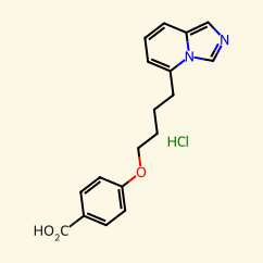 Cl.O=C(O)c1ccc(OCCCCc2cccc3cncn23)cc1